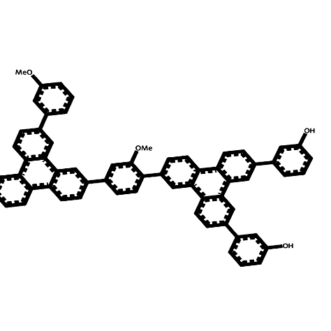 COc1cccc(-c2ccc3c4ccccc4c4ccc(-c5ccc(-c6ccc7c8ccc(-c9cccc(O)c9)cc8c8cc(-c9cccc(O)c9)ccc8c7c6)c(OC)c5)cc4c3c2)c1